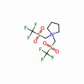 O=S(=O)(C[N+]1(CS(=O)(=O)C(F)(F)F)CCCC1)C(F)(F)F